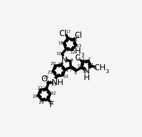 Cc1cc(C)c(/C=C2\CN(Cc3ccc(Cl)c(Cl)c3)c3ccc(NC(=O)c4cccc(F)c4)cc32)[nH]1